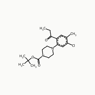 CCC(=O)c1cc(C)c(Cl)cc1N1CCN(C(=O)OC(C)(C)C)CC1